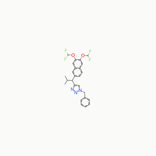 CC(C)C(c1ccc2cc(OC(F)F)c(OC(F)F)cc2c1)c1cn(Cc2ccccc2)nn1